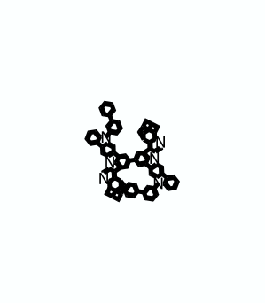 c1ccc(-c2cccc(-n3c4ccccc4c4cc5c(cc43)c3cc(-c4cc6c7cc8c(cc7n7c9cnc%10c(c9c(c4)c67)C4CC6CC7CC%10C67C4)c4ccccc4n8-c4cccc(-c6ccccc6)c4)cc4c6c7c(ncc6n5c34)C3CC4CC5CC7CC543)c2)cc1